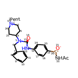 CCCC(C)N1CCC(N(Cc2ccccc2)C(=O)Nc2ccc([S+]([O-])NC(C)=O)cc2)CC1